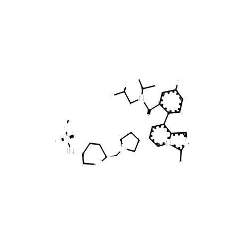 CCS(=O)(=O)N[C@@H]1CC[C@@H](CN2CC[C@H](c3cc(-c4ccc(F)cc4C(=O)N(CC(F)F)C(C)C)c4cnc(C)n4c3)C2)OC1